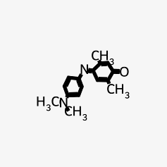 CC1=CC(=Nc2ccc(N(C)C)cc2)C(C)=CC1=O